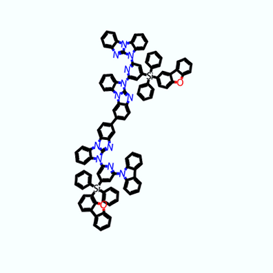 c1ccc([Si](c2ccccc2)(c2cc(-n3c4ccccc4n4c5ccccc5nc34)nc(-n3c4ccccc4n4c5cc(-c6ccc7c(c6)nc6n(-c8cc([Si](c9ccccc9)(c9ccccc9)c9cccc%10c9oc9ccccc9%10)cc(-n9c%10ccccc%10c%10ccccc%109)n8)c8ccccc8n76)ccc5nc34)c2)c2ccc3oc4ccccc4c3c2)cc1